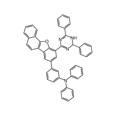 c1ccc(C2=NC(c3cc(-c4cccc(N(c5ccccc5)c5ccccc5)c4)cc4c3oc3c5ccccc5ccc43)=NC(c3ccccc3)N2)cc1